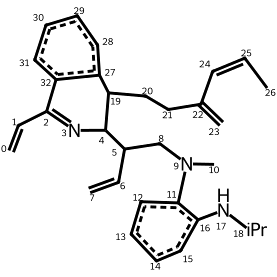 C=CC1=NC(C(C=C)CN(C)c2ccccc2NC(C)C)C(CCC(=C)/C=C\C)c2ccccc21